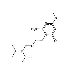 CC(C)P(COCCn1c(N)nc(N(C)C)cc1=O)C(C)C